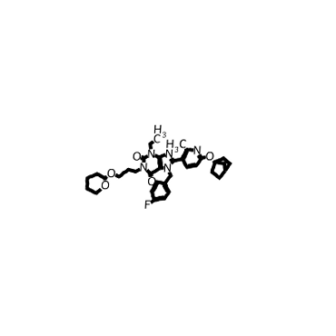 CCn1c(=O)n(CCCOC2CCCCO2)c(=O)c2c1nc(-c1ccc(OC34CCC(CC3)C4)nc1C)n2Cc1ccc(F)cc1